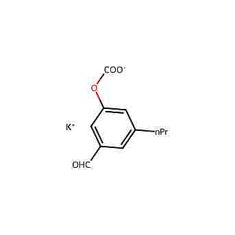 CCCc1cc(C=O)cc(OC(=O)[O-])c1.[K+]